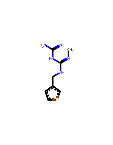 C/N=C(/NCc1ccsc1)NC(=N)N